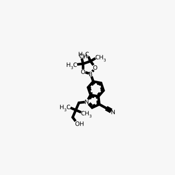 CC(C)(CO)Cn1cc(C#N)c2ccc(B3OC(C)(C)C(C)(C)O3)cc21